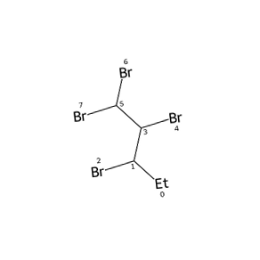 CCC(Br)C(Br)C(Br)Br